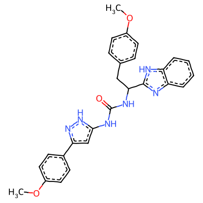 COc1ccc(CC(NC(=O)Nc2cc(-c3ccc(OC)cc3)n[nH]2)c2nc3ccccc3[nH]2)cc1